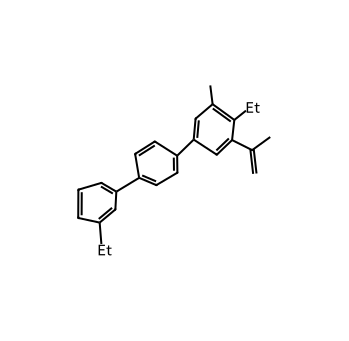 C=C(C)c1cc(-c2ccc(-c3cccc(CC)c3)cc2)cc(C)c1CC